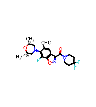 C[C@@H]1CN(c2c(C=O)cc3c(C(=O)N4CCC(F)(F)CC4)noc3c2F)C[C@H](C)O1